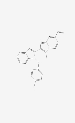 C=Cc1ccn2c(C)c(-c3cc4ccccc4n3Cc3ccc(CC)cc3)nc2c1